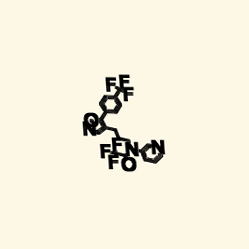 O=C(N(CCCc1cnoc1-c1ccc(C(F)(F)F)cc1)c1cccnc1)C(F)(F)F